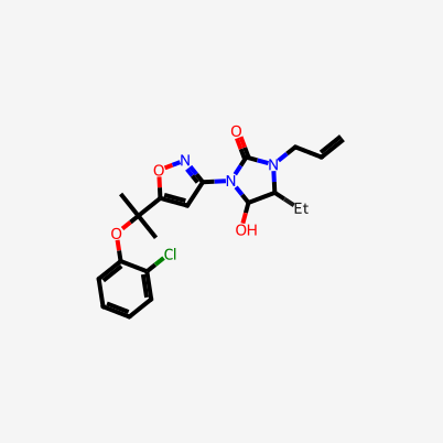 C=CCN1C(=O)N(c2cc(C(C)(C)Oc3ccccc3Cl)on2)C(O)C1CC